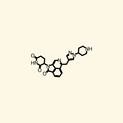 O=C1CCC(N2C(=O)c3cccc4c(Cc5cnn(C6CCNCC6)c5)ncc2c34)C(=O)N1